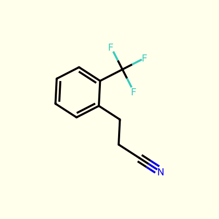 N#CCCc1ccccc1C(F)(F)F